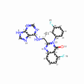 CC[C@@H](Nc1ncnc2[nH]cnc12)c1nc2cccc(F)c2c(=O)n1-c1cccc(F)c1